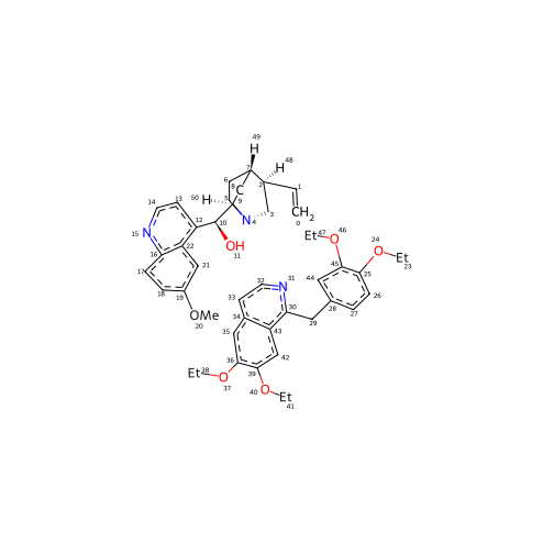 C=C[C@H]1C[N@]2CC[C@H]1C[C@@H]2[C@@H](O)c1ccnc2ccc(OC)cc12.CCOc1ccc(Cc2nccc3cc(OCC)c(OCC)cc23)cc1OCC